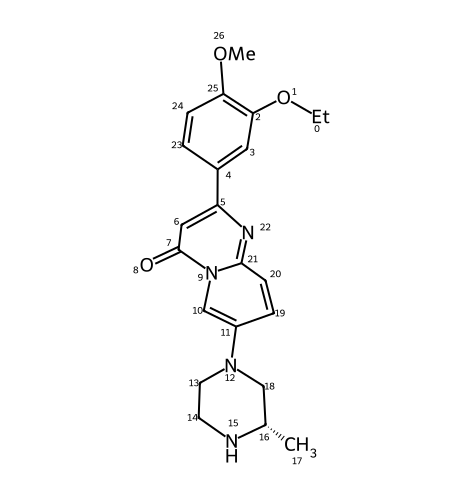 CCOc1cc(-c2cc(=O)n3cc(N4CCN[C@@H](C)C4)ccc3n2)ccc1OC